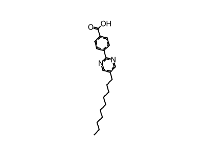 CCCCCCCCCCc1cnc(-c2ccc(C(=O)O)cc2)nc1